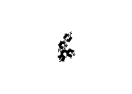 CN1CCN(c2ccc3nc(-c4ccsc4)c(-c4ccncc4)n3n2)CC1